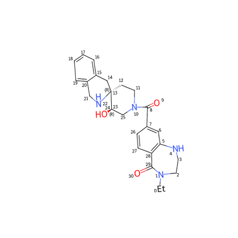 CCN1CCNc2cc(C(=O)N3CC[C@]4(Cc5ccccc5CN4)[C@H](O)C3)ccc2C1=O